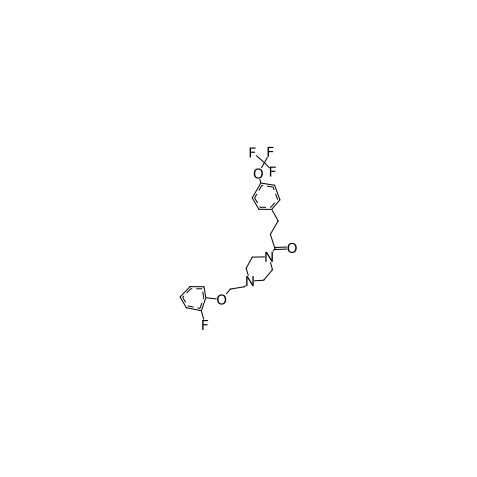 O=C(CCc1ccc(OC(F)(F)F)cc1)N1CCN(CCOc2ccccc2F)CC1